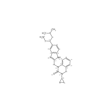 CC(C)CC(CN)c1ccc2[nH]c(CN3C(=O)N(C4CC4)Cc4ccccc43)nc2c1